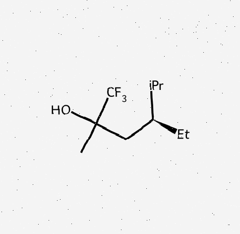 CC[C@@H](CC(C)(O)C(F)(F)F)C(C)C